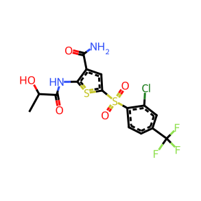 CC(O)C(=O)Nc1sc(S(=O)(=O)c2ccc(C(F)(F)F)cc2Cl)cc1C(N)=O